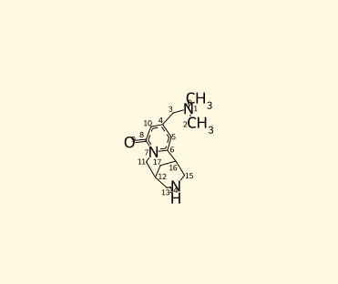 CN(C)Cc1cc2n(c(=O)c1)CC1CNCC2C1